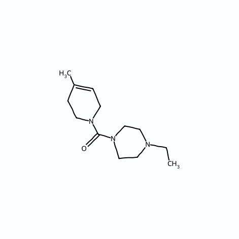 CCN1CCN(C(=O)N2CC=C(C)CC2)CC1